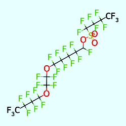 O=S(=O)(OC(F)C(F)(F)C(F)(F)C(F)(F)C(F)(F)OC(F)(F)C(F)(F)OC(F)(F)C(F)(F)C(F)(F)C(F)(F)F)C(F)(F)C(F)(F)C(F)(F)C(F)(F)F